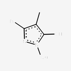 Cc1c(C(C)C)nn(C(C)(C)C)c1O